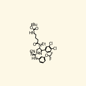 CCN(C(=O)CCCNC(=O)OC(C)(C)C)C1CN(/C(=N\C#N)Nc2cccc(OC(F)F)c2)N=C1c1ccc(Cl)c(Cl)c1